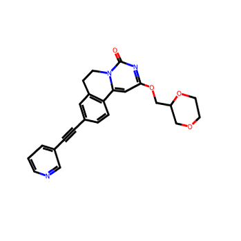 O=c1nc(OCC2COCCO2)cc2n1CCc1cc(C#Cc3cccnc3)ccc1-2